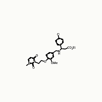 CCOC(=O)CC(NCc1ccc(OCCn2c(=O)ccn(C)c2=O)c(OC)c1)c1ccc(Cl)cc1